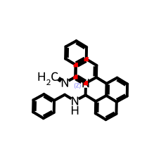 C=N/C(=N\C(NCc1ccccc1)c1cccc2cccc(-c3ccccc3)c12)c1ccccc1